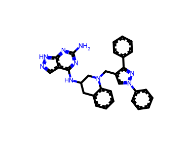 Nc1nc(NC2Cc3ccccc3N(Cc3cn(-c4ccccc4)nc3-c3ccccc3)C2)c2cn[nH]c2n1